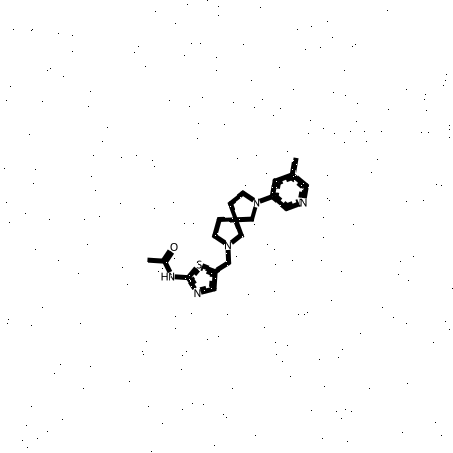 CC(=O)Nc1ncc(CN2CCC3(CCN(c4cncc(C)c4)C3)C2)s1